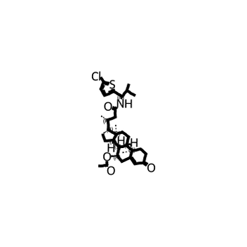 CC(=O)O[C@@H]1CC2=CC(=O)CC[C@]2(C)[C@H]2CC[C@]3(C)[C@@H]([C@H](C)CC(=O)N[C@@H](c4ccc(Cl)s4)C(C)C)CC[C@H]3[C@H]12